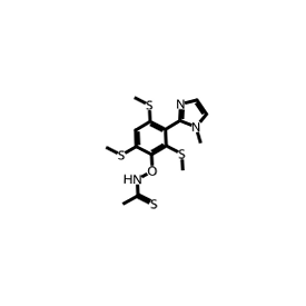 CSc1cc(SC)c(-c2nccn2C)c(SC)c1ONC(C)=S